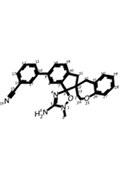 CN1OC2(N=C1N)c1cc(-c3cccc(C#N)c3)ccc1CC21CCOc2ccccc2C1